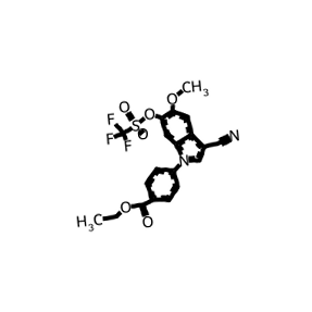 CCOC(=O)c1ccc(-n2cc(C#N)c3cc(OC)c(OS(=O)(=O)C(F)(F)F)cc32)cc1